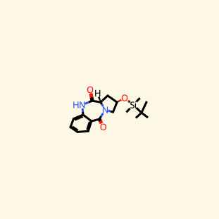 CC(C)(C)[Si](C)(C)O[C@@H]1C[C@H]2C(=O)Nc3ccccc3C(=O)N2C1